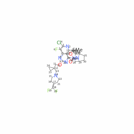 CSc1nc(Cl)c(F)c2nc(OCC3(CN4CCC(=C(F)F)CC4)CC3)nc(N3CC4CCC(C3)N4C(=O)OC(C)(C)C)c12